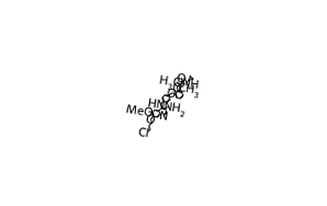 COc1cc2c(Nc3ccc(Oc4ccccc4OC(C)(C)C(=O)NC4CC4)cc3)c(N)cnc2cc1OCCCCl